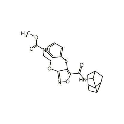 COC(=O)NCCOc1noc(C(=O)NC2C3CC4CC(C3)C2C4)c1Sc1ccccc1